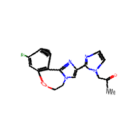 CNC(=O)Cn1ccnc1-c1cn2c(n1)-c1ccc(Br)cc1OCC2